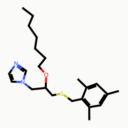 CCCCCCCOC(CSCc1c(C)cc(C)cc1C)Cn1ccnc1